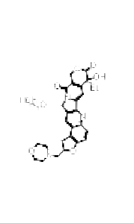 CC[C@@]1(O)C(=O)OCc2c1cc1n(c2=O)Cc2cc3c4c(ccc3nc2-1)OC(CN1CCOCC1)C4.Cl.Cl.O